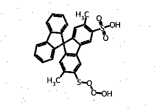 Cc1cc2c(cc1SOOO)-c1cc(S(=O)(=O)O)c(C)cc1C21c2ccccc2-c2ccccc21